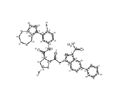 NC(=O)c1nn(CC(=O)N2C[C@H](F)C[C@H]2C(=O)Nc2ccc(F)c(-c3nnc4n3CCCCC4)c2)c2ccc(-c3ccnnc3)cc12